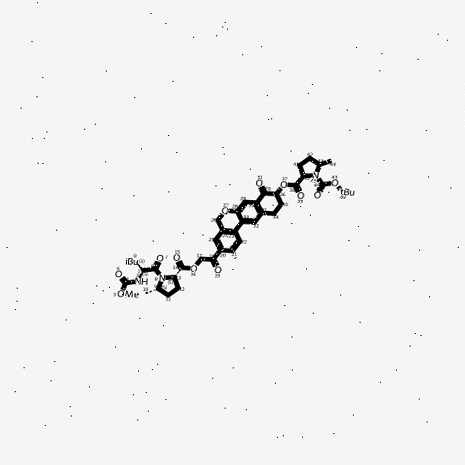 CC[C@H](C)[C@H](NC(=O)OC)C(=O)N1[C@@H](C)CC[C@H]1C(=O)OCC(=O)c1ccc2c(c1)COc1cc3c(cc1-2)CCC(OC(=O)C1CCC(C)N1C(=O)OC(C)(C)C)C3=O